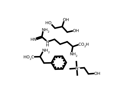 C[N+](C)(C)CCO.N=C(N)NCCCC(N)C(=O)O.NC(Cc1ccccc1)C(=O)O.OCC(O)CO